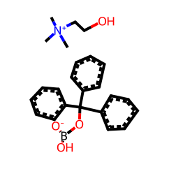 C[N+](C)(C)CCO.[O-]B(O)OC(c1ccccc1)(c1ccccc1)c1ccccc1